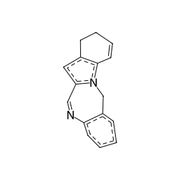 C1=Cc2c(cc3n2Cc2ccccc2N=C3)CC1